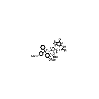 COc1ccc(C(OC[C@H]2O[C@@H](n3cnc4c(=O)[nH]c(NC(=O)C(C)C)nc43)[C@H](O)[C@@H]2O[Si](C)(C)C(C)(C)C)(c2ccccc2)c2ccc(OC)cc2)cc1